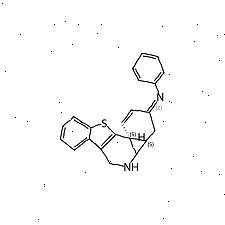 C1=C[C@@]23c4sc5ccccc5c4CNC2[C@H]3C/C1=N/c1ccccc1